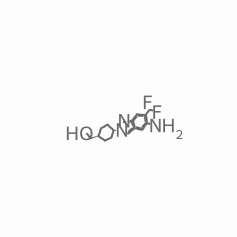 Nc1cc2cn([C@H]3CC[C@H](CO)CC3)nc2cc1C(F)F